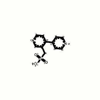 [CH2]S(=O)(=O)Cc1cnccc1-c1ccncc1